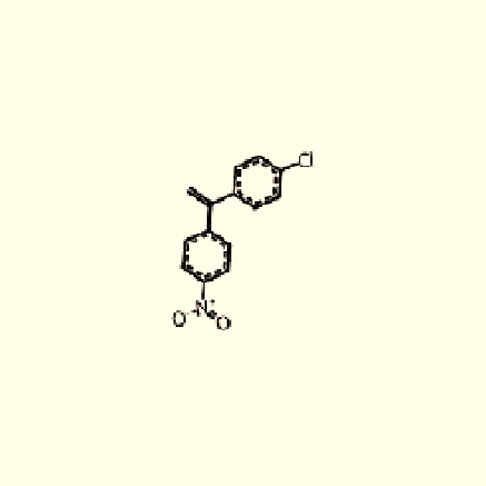 C=C(c1ccc(Cl)cc1)c1ccc([N+](=O)[O-])cc1